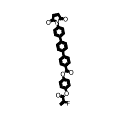 C=C(F)C(=O)Oc1ccc(OC(=O)c2ccc(-c3ccc(-c4ccc(N5C(=O)C=CC5=O)cc4)cc3)cc2)cc1